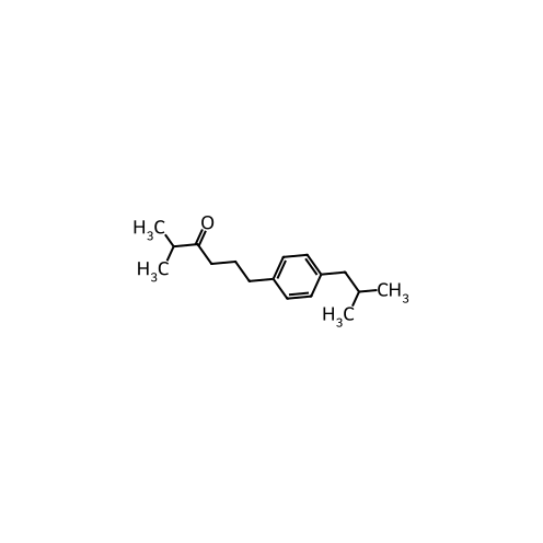 CC(C)Cc1ccc(CCCC(=O)C(C)C)cc1